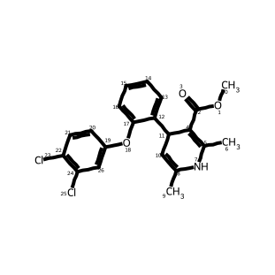 COC(=O)C1=C(C)NC(C)=CC1c1ccccc1Oc1ccc(Cl)c(Cl)c1